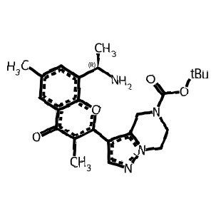 Cc1cc([C@@H](C)N)c2oc(-c3cnn4c3CN(C(=O)OC(C)(C)C)CC4)c(C)c(=O)c2c1